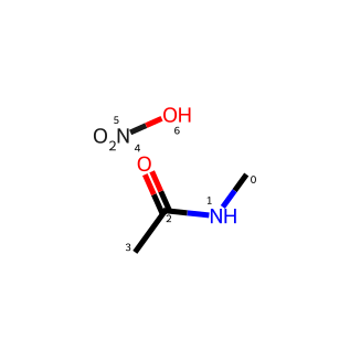 CNC(C)=O.O=[N+]([O-])O